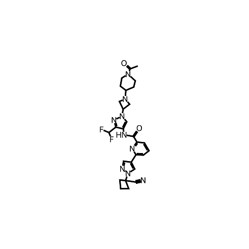 CC(=O)N1CCC(N2CC(n3cc(NC(=O)c4cccc(-c5cnn(C6(C#N)CCC6)c5)n4)c(C(F)F)n3)C2)CC1